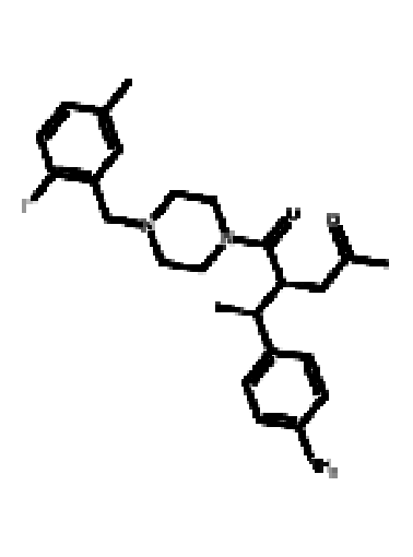 CC(=O)C[C@H](C(=O)N1CCN(Cc2cc(C)ccc2F)CC1)[C@H](C)c1ccc(N)cc1